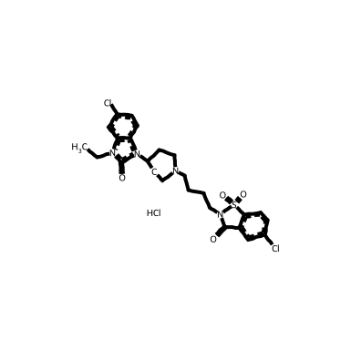 CCn1c(=O)n(C2CCN(CCCCN3C(=O)c4cc(Cl)ccc4S3(=O)=O)CC2)c2ccc(Cl)cc21.Cl